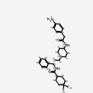 Nc1ccc(CC(=O)NC2CCN(CC[C@H](NC(=O)C3CCC(F)(F)CC3)c3ccccc3)CC2)cc1